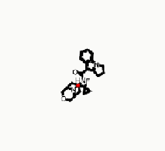 O=C(NC1CC2COCC(C1)N2CC1(F)CC1)c1c2n(c3ccccc13)CCC2